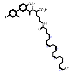 C=C(NC(CCCNC(=O)CC/C=C\C/C=C\C/C=C\C/C=C\C/C=C\C/C=C\CC)C(=O)O)c1cc(-c2ccc(F)cc2F)ccc1OC(C)=O